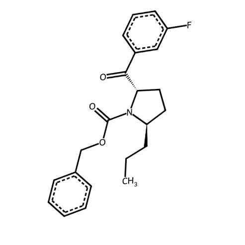 CCC[C@@H]1CC[C@@H](C(=O)c2cccc(F)c2)N1C(=O)OCc1ccccc1